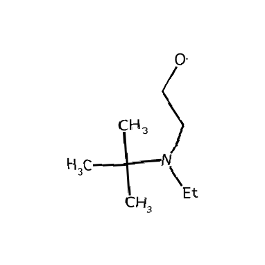 CCN(CC[O])C(C)(C)C